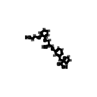 O=C(O)C1(Cc2cccc(OC[C@@H](O)COc3ccccc3OCCO)c2)CCCO1